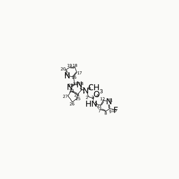 CN(CC(=O)Nc1ccc(F)nc1)c1nc(-c2ccccn2)nc2c1CCC2